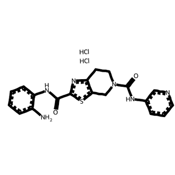 Cl.Cl.Nc1ccccc1NC(=O)c1nc2c(s1)CN(C(=O)Nc1cccnc1)CC2